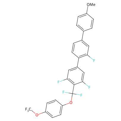 COc1ccc(-c2ccc(-c3cc(F)c(C(F)(F)Oc4ccc(OC(F)(F)F)cc4)c(F)c3)c(F)c2)cc1